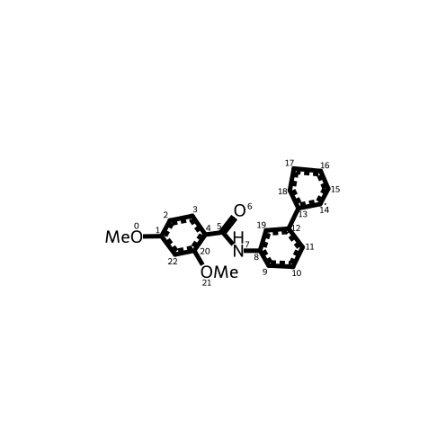 COc1ccc(C(=O)Nc2cccc(-c3[c]cccc3)c2)c(OC)c1